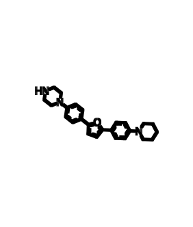 c1cc(N2CCCCC2)ccc1-c1ccc(-c2ccc(N3CCNCC3)cc2)o1